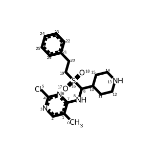 Cc1cnc(Cl)nc1NC(C1CCNCC1)S(=O)(=O)CCc1ccccc1